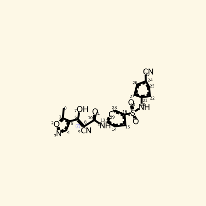 Cc1oncc1/C(O)=C(\C#N)C(=O)Nc1ccc(S(=O)(=O)Nc2ccc(C#N)cc2)cc1